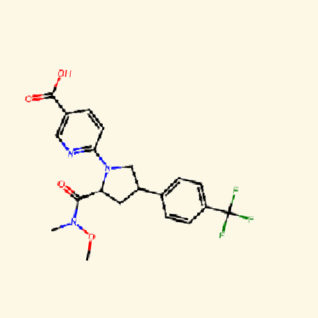 CON(C)C(=O)[C@@H]1CC(c2ccc(C(F)(F)F)cc2)CN1c1ccc(C(=O)O)cn1